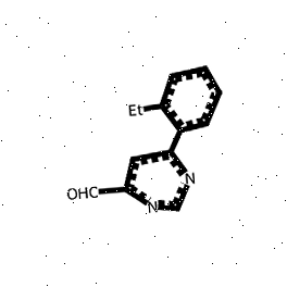 CCc1ccccc1-c1cc(C=O)ncn1